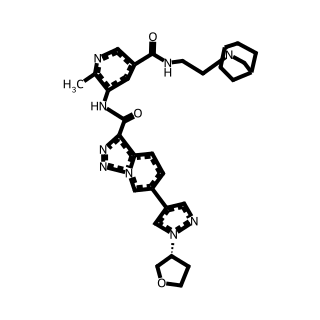 Cc1ncc(C(=O)NCCN2CC3CCC2CC3)cc1NC(=O)c1nnn2cc(-c3cnn([C@@H]4CCOC4)c3)ccc12